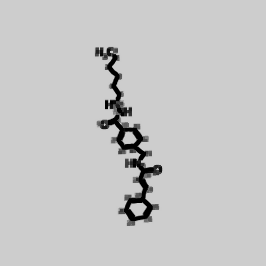 CCCCCCNNC(=O)c1ccc(CNC(=O)C=Cc2ccccc2)cc1